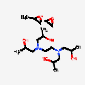 C1CO1.CC(O)CN(CCN(CC(C)O)CC(C)O)CC(C)O.CC1CO1